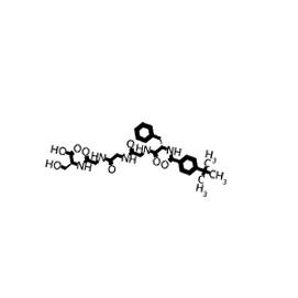 CC(C)(C)c1ccc(C(=O)N[C@@H](Cc2ccccc2)C(=O)NCC(=O)NCC(=O)NCC(=O)N[C@@H](CO)C(=O)O)cc1